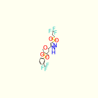 CC1(S(=O)(=O)c2cccc(C(F)(F)F)c2)CCOC(c2cc(S(=O)(=O)CCC(F)(F)F)n[nH]2)C1